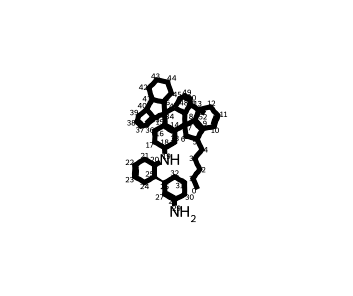 CCCCCC1CC2(C3=C1C=CCC3)C1=C(CCC(NC3CC=CCC3[C@@H]3C=C(N)CCC3)C1)C1(C3=CC=CCC3C3CCCCC31)C1CC=CC(C)C12